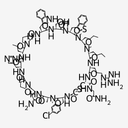 CCCC[C@H]1C(=O)N(C)[C@@H](CCCC)C(=O)N[C@@H](CCCNC(=N)N)C(=O)N[C@H](C(=O)NCC(N)=O)CSCC(=O)N[C@@H](Cc2ccc(Cl)cc2)C(=O)N(C)[C@@H](C)C(=O)N[C@@H](CC(N)=O)C(=O)N2CCC[C@H]2C(=O)N[C@@H](Cc2cnc[nH]2)C(=O)N[C@@H](CC(C)C)C(=O)N2CCC[C@H]2C(=O)N[C@@H](Cc2c[nH]c3ccccc23)C(=O)N[C@@H](CO)C(=O)N[C@@H](Cc2csc3ccccc23)C(=O)N1C